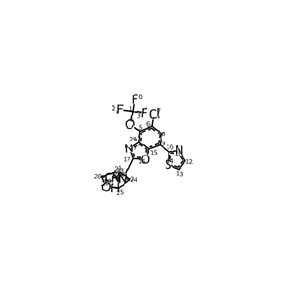 FC(F)(F)Oc1c(Cl)cc(-c2nccs2)c2oc(N3CC4CNCC3CO4)nc12